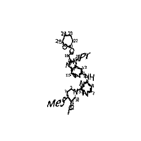 CSC1CCN(c2nccc(Nc3cc4c(cn3)nc(COC3CCCCO3)n4C(C)C)n2)CC1F